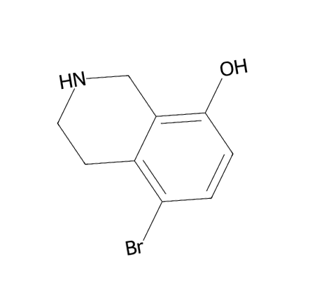 Oc1ccc(Br)c2c1CNCC2